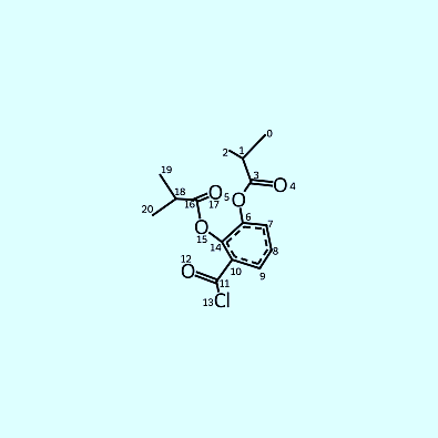 CC(C)C(=O)Oc1cccc(C(=O)Cl)c1OC(=O)C(C)C